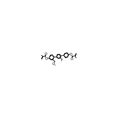 C=C(C)C(=O)Oc1ccc(-c2ccc(-c3ccc(OC(=O)C(=C)C)cc3COC)cc2F)cc1